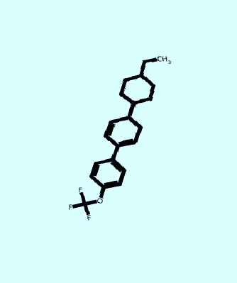 CCC1CCC(C2C=CC(c3ccc(OC(F)(F)F)cc3)=CC2)CC1